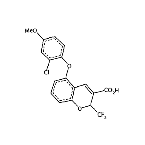 COc1ccc(Oc2cccc3c2C=C(C(=O)O)C(C(F)(F)F)O3)c(Cl)c1